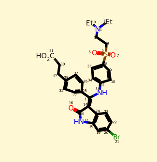 CCN(CC)CCS(=O)(=O)c1ccc(NC(=C2C(=O)Nc3cc(Br)ccc32)c2ccc(CCC(=O)O)cc2)cc1